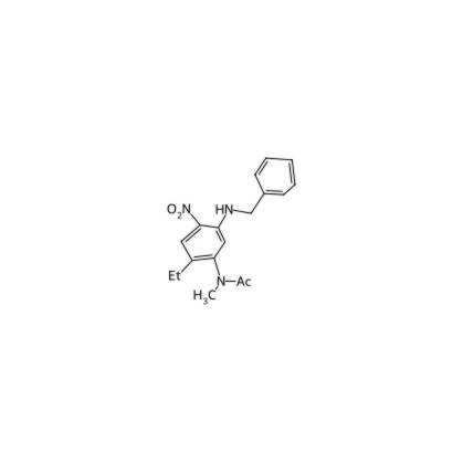 CCc1cc([N+](=O)[O-])c(NCc2ccccc2)cc1N(C)C(C)=O